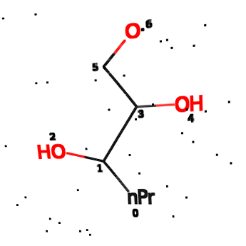 CCCC(O)C(O)C[O]